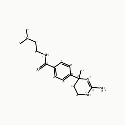 CN(C)CCNC(=O)c1ccc(C2(C)CCNC(N)=N2)cc1